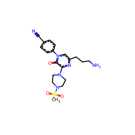 CS(=O)(=O)N1CCN(c2nc(CCCN)cn(-c3ccc(C#N)cc3)c2=O)CC1